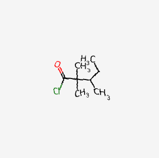 CCC(C)C(C)(C)C(=O)Cl